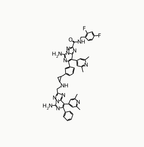 Cc1cc(-c2c(-c3ccccc3)nc(N)n3nc(CNC4CC4c4cccc(-c5nc(N)n6nc(C(=O)NCc7ccc(F)cc7F)nc6c5-c5cc(C)nc(C)c5)c4)nc23)cc(C)n1